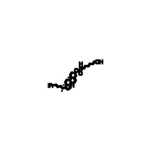 CC(C)CCC[C@@H](C)C1CCC2[C@@H]3CC=C4C[C@@H](OC(=O)NCCCCCCO)CC[C@]4(C)C3CC[C@@]21C